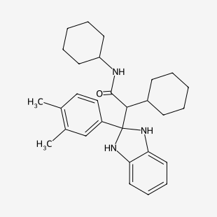 Cc1ccc(C2(C(C(=O)NC3CCCCC3)C3CCCCC3)Nc3ccccc3N2)cc1C